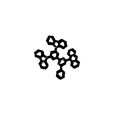 c1ccc(-c2cc(-c3c4ccccc4cc4ccccc34)nc(-c3cc(-n4c5ccccc5c5ccccc54)cc(-n4c5ccccc5c5ccccc54)c3)n2)cc1